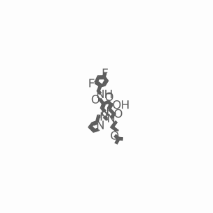 CC(C)OCCCN1CN(Cc2ccccn2)n2cc(C(=O)NCc3ccc(F)cc3F)c(=O)c(O)c2C1=O